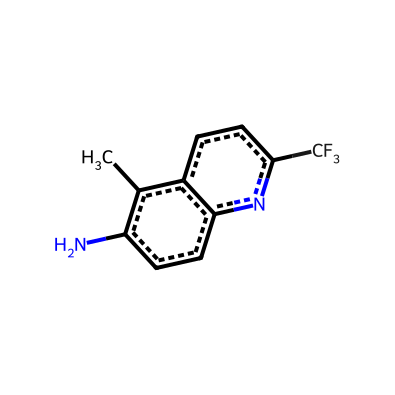 Cc1c(N)ccc2nc(C(F)(F)F)ccc12